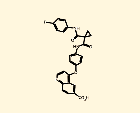 O=C(O)c1ccc2nccc(Oc3ccc(NC(=O)C4(C(=O)Nc5ccc(F)cc5)CC4)cc3)c2c1